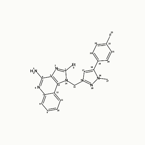 CCc1nc2c(N)nc3ccccc3c2n1Cc1cc(-c2ccc(F)cc2)n(C)n1